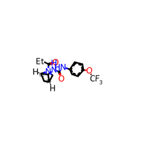 CCC(=O)N1C[C@H]2C[C@@H]1C2NC(=O)Nc1ccc(OC(F)(F)F)cc1